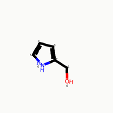 OCc1ccc[15nH]1